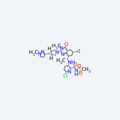 C[C@@H](Nc1ccc(Cl)nc1C(=O)NS(C)(=O)=O)c1cc(C2CC2)cc2c(=O)n(C)c(N3C[C@@H]4C(c5ccn(C)n5)[C@@H]4C3)nc12